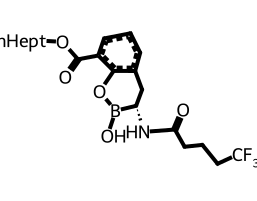 CCCCCCCOC(=O)c1cccc2c1OB(O)[C@@H](NC(=O)CCCC(F)(F)F)C2